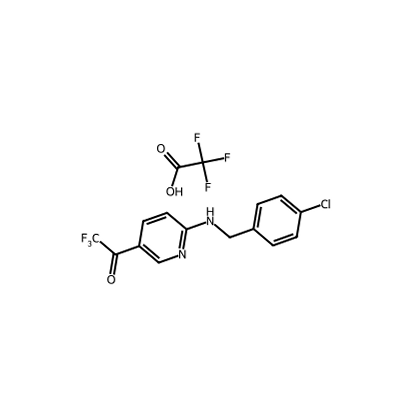 O=C(O)C(F)(F)F.O=C(c1ccc(NCc2ccc(Cl)cc2)nc1)C(F)(F)F